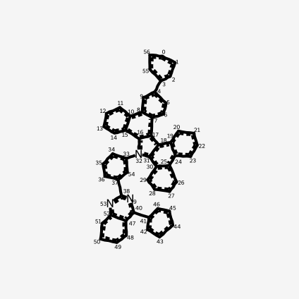 c1ccc(-c2ccc3c(c2)c2ccccc2c2c3c3c4ccccc4c4ccccc4c3n2-c2cccc(-c3nc(-c4ccccc4)c4ccccc4n3)c2)cc1